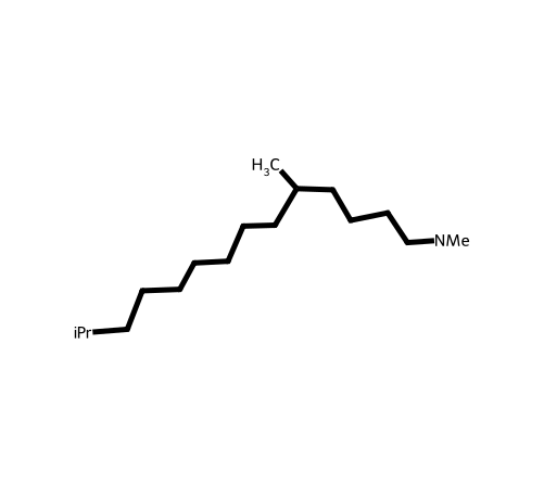 CNCCCCC(C)CCCCCCCC(C)C